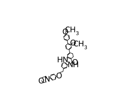 COc1ccc(-c2ccc(C3=CC4=C(CC3)C(=O)Nc3cc(CCOc5ccc(N6CCOCC6)cc5)ccc3N4)cc2OC)cc1